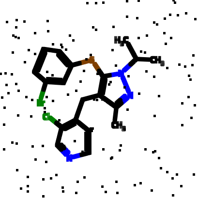 Cc1nn(C(C)C)c(Sc2cccc(Br)c2)c1Cc1ccncc1Cl